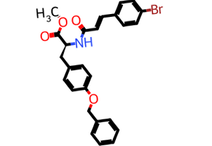 COC(=O)[C@H](Cc1ccc(OCc2ccccc2)cc1)NC(=O)/C=C/c1ccc(Br)cc1